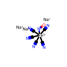 N#[C][Fe-3]([C]#N)([C]#N)([C]#N)([C]#N)[N]=O.[Na+].[Na+].[Na+]